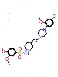 COc1ccc(S(=O)(=O)NC2CCC(CCN3CCN(c4ccc(Cl)cc4OC)CC3)CC2)cc1OC